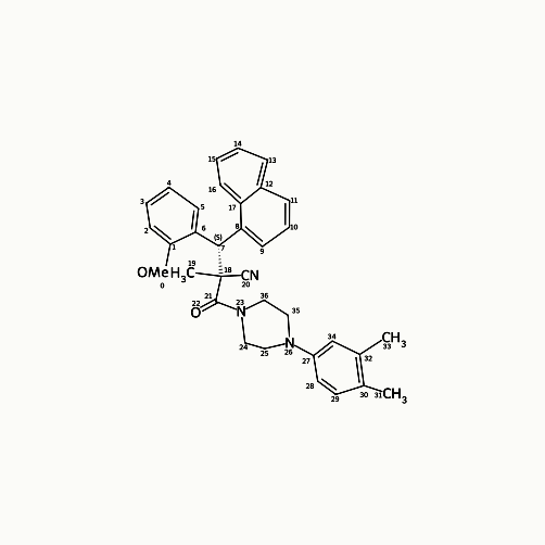 COc1ccccc1[C@H](c1cccc2ccccc12)C(C)(C#N)C(=O)N1CCN(c2ccc(C)c(C)c2)CC1